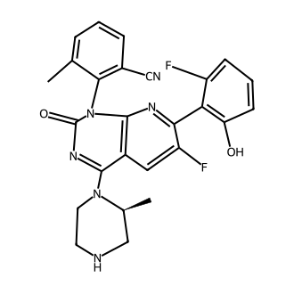 Cc1cccc(C#N)c1-n1c(=O)nc(N2CCNC[C@@H]2C)c2cc(F)c(-c3c(O)cccc3F)nc21